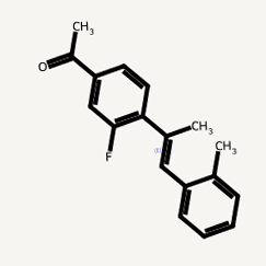 CC(=O)c1ccc(/C(C)=C/c2ccccc2C)c(F)c1